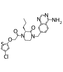 CCC[C@H]1C(=O)N(Cc2ccc3c(N)ncnc3c2)CCN1C(=O)COc1cc(Cl)cs1